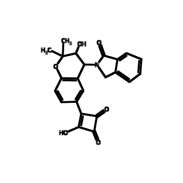 CC1(C)Oc2ccc(-c3c(O)c(=O)c3=O)cc2C(N2Cc3ccccc3C2=O)C1O